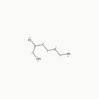 CCC(CO)CCOCC(C)C